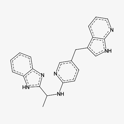 CC(Nc1ccc(Cc2c[nH]c3ncccc23)cn1)c1nc2ccccc2[nH]1